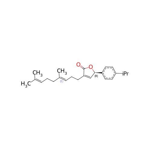 CC(C)=CCC/C(C)=C/CCC1=C[C@H](c2ccc(C(C)C)cc2)OC1=O